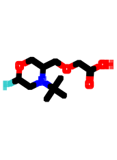 CC(C)(C)N1CC(F)OCC1COCC(=O)O